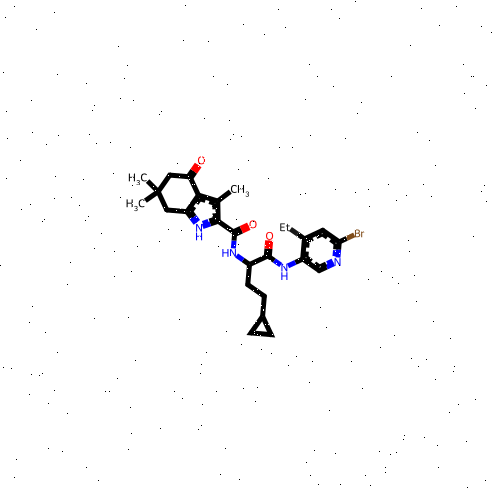 CCc1cc(Br)ncc1NC(=O)C(CCC1CC1)NC(=O)c1[nH]c2c(c1C)C(=O)CC(C)(C)C2